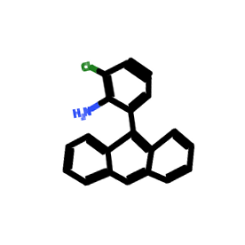 Nc1c(Cl)c#ccc1-c1c2ccccc2cc2ccccc12